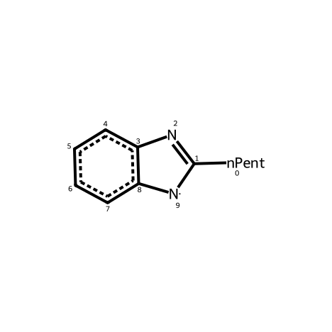 CCCCCC1=Nc2ccccc2[N]1